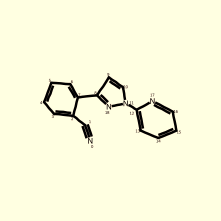 N#Cc1ccccc1-c1ccn(-c2ccccn2)n1